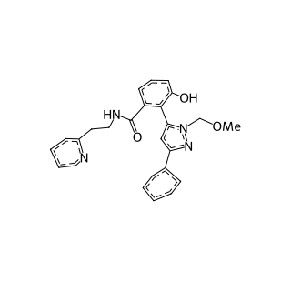 COCn1nc(-c2ccccc2)cc1-c1c(O)cccc1C(=O)NCCc1ccccn1